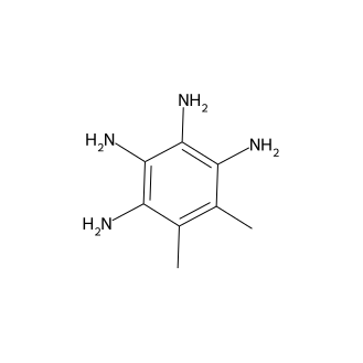 Cc1c(C)c(N)c(N)c(N)c1N